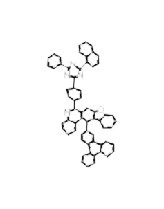 c1ccc(-c2nc(-c3ccc(-c4nc5ccccc5c5c(-c6ccc7c8ccccc8c8ccccc8c7c6)c6c(cc45)oc4ccccc46)cc3)nc(-c3cccc4ccccc34)n2)cc1